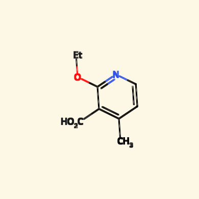 CCOc1nccc(C)c1C(=O)O